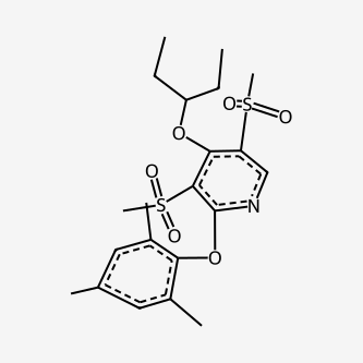 CCC(CC)Oc1c(S(C)(=O)=O)cnc(Oc2c(C)cc(C)cc2C)c1S(C)(=O)=O